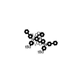 CC(C)(C)c1ccc(N(c2ccc(-c3ccccc3)cc2)c2ccc3c(c2)C(C)(C)c2cc(N(c4ccc(-c5ccccc5)cc4)c4ccc(C(C)(C)C)cc4)cc4c2N3c2ccccc2C4(C)C)cc1